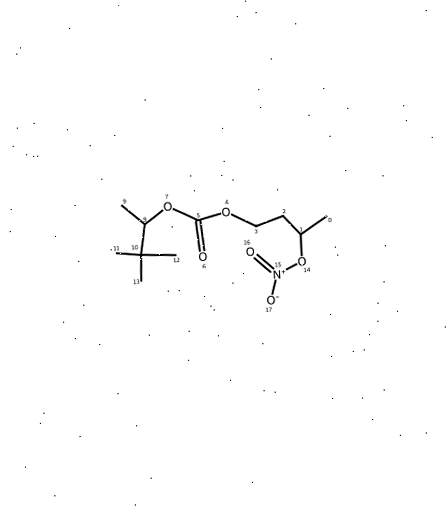 CC(CCOC(=O)OC(C)C(C)(C)C)O[N+](=O)[O-]